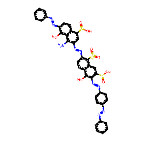 Nc1c(N=Nc2ccc3c(O)c(N=Nc4ccc(N=Nc5ccccc5)cc4)c(S(=O)O)cc3c2[SH](=O)=O)cc(S(=O)O)c2ccc(N=Nc3ccccc3)c(O)c12